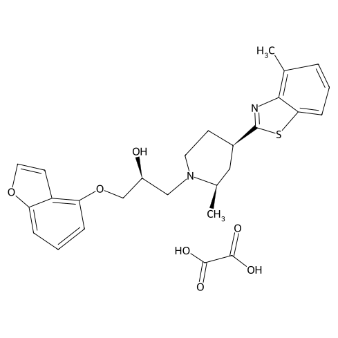 Cc1cccc2sc([C@@H]3CCN(C[C@H](O)COc4cccc5occc45)[C@H](C)C3)nc12.O=C(O)C(=O)O